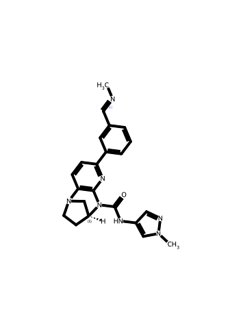 C/N=C/c1cccc(-c2ccc3c(n2)N(C(=O)Nc2cnn(C)c2)[C@H]2CCN3C2)c1